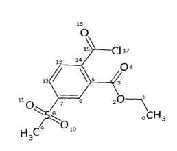 CCOC(=O)c1cc(S(C)(=O)=O)ccc1C(=O)Cl